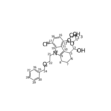 CCOC(O)C1CCCc2c1c1c(OC)ccc(Cl)c1n2CCOCc1ccccc1